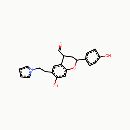 O=CC1CC(c2ccc(O)cc2)Oc2cc(O)c(CCn3cccc3)cc21